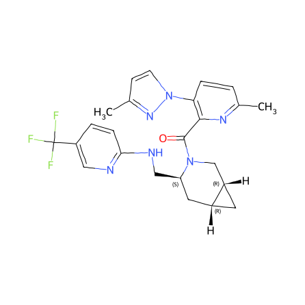 Cc1ccc(-n2ccc(C)n2)c(C(=O)N2C[C@@H]3C[C@@H]3C[C@H]2CNc2ccc(C(F)(F)F)cn2)n1